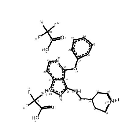 O=C(O)C(F)(F)F.O=C(O)C(F)(F)F.c1ccc(Oc2nccc3[nH]nc(NCC4CCNCC4)c23)cc1